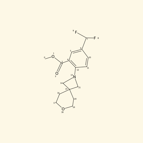 COC(=O)c1cc(C(F)F)ccc1N1CC2(CCOCC2)C1